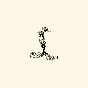 CCC(O)CCn1cc(C#CCNC(=S)Nc2ccc(CCc3cc(CN(CC(=O)O)CC(=O)O)nc(CN(CC(=O)O)CC(=O)O)c3)cc2)c(=O)[nH]c1=O